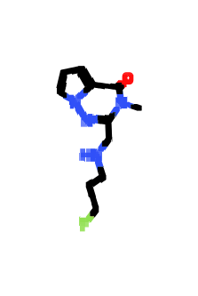 Cn1c(CNCCCF)nn2cccc2c1=O